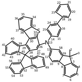 CC1(C)c2ccccc2-c2ccc(N(c3ccc(-c4ccccc4)cc3)c3cc4c(c5c3sc3ccccc35)-c3ccccc3C43c4ccccc4-c4ccccc43)cc21